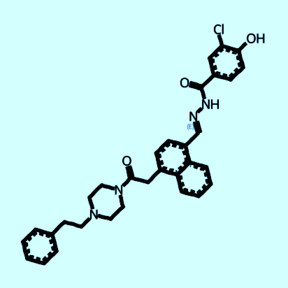 O=C(N/N=C/c1ccc(CC(=O)N2CCN(CCc3ccccc3)CC2)c2ccccc12)c1ccc(O)c(Cl)c1